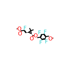 COCc1c(F)c(F)c(COC(=O)[C@@H]2[C@@H](/C=C(\F)C(=O)OC)C2(C)C)c(F)c1F